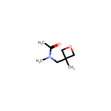 CC(=O)N(C)CC1(C)COC1